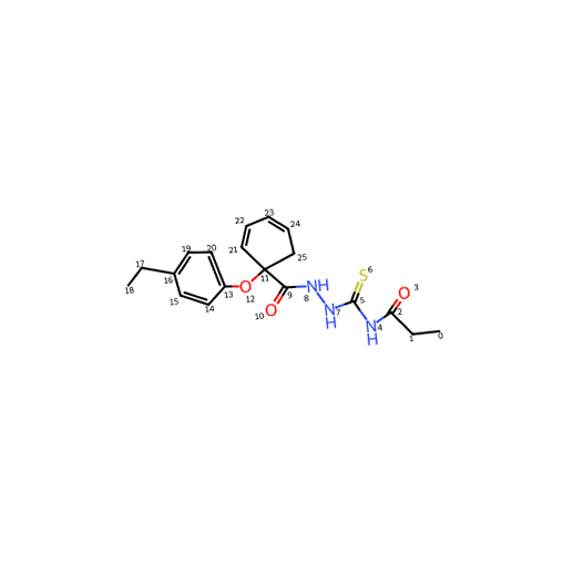 CCC(=O)NC(=S)NNC(=O)C1(Oc2ccc(CC)cc2)C=CC=CC1